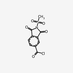 CS(=O)(=O)N1C(=O)c2ccc(C(=O)Cl)cc2C1=O